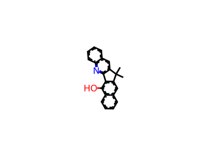 CC1(C)c2cc3ccccc3nc2-c2c1cc1ccccc1c2O